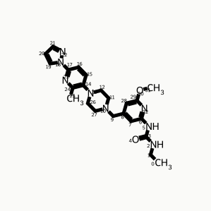 CCNC(=O)Nc1cc(CN2CCN(c3ccc(-n4cccn4)nc3C)CC2)cc(OC)n1